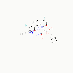 CN1C(=O)c2c(OCc3ccccc3)c(=O)ccn2N(C23C(=Cc4c(F)cccc42)Cc2c(F)cccc23)C1CNC(=O)O